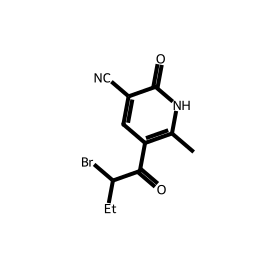 CCC(Br)C(=O)c1cc(C#N)c(=O)[nH]c1C